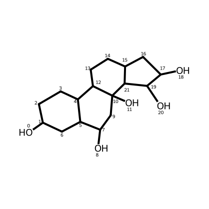 OC1CCC2C(C1)C(O)CC1(O)C2CCC2CC(O)C(O)C21